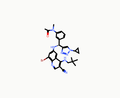 CC(=O)N(C)c1cccc([C@H](Nc2cc(Br)c3ncc(C#N)c(NCC(C)(C)C)c3c2)c2cn(C3CC3)nn2)c1